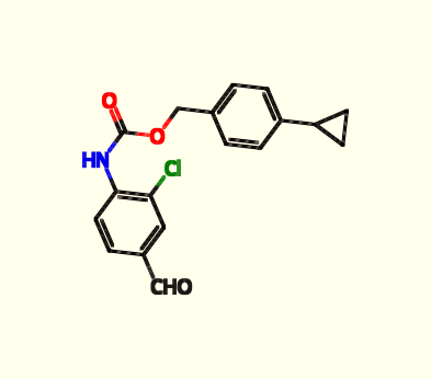 O=Cc1ccc(NC(=O)OCc2ccc(C3CC3)cc2)c(Cl)c1